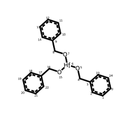 c1ccc(C[O][Hf]([O]Cc2ccccc2)[O]Cc2ccccc2)cc1